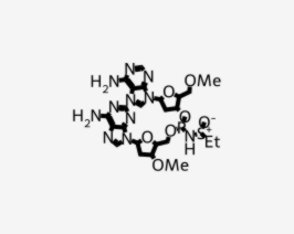 CC[S+]([O-])NP(OCC1OC(n2cnc3c(N)ncnc32)CC1OC)OC1CC(n2cnc3c(N)ncnc32)OC1COC